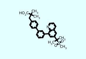 CC(C)(Cc1ccc(-c2cccc(-c3cc(C(C)(C)S(C)(=O)=O)cc4cccnc34)c2)cc1)C(=O)O